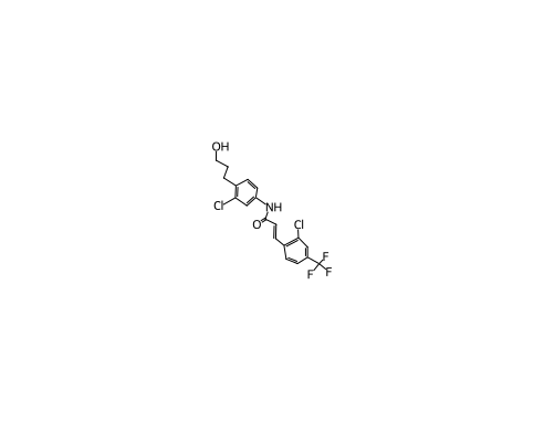 O=C(C=Cc1ccc(C(F)(F)F)cc1Cl)Nc1ccc(CCCO)c(Cl)c1